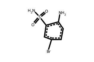 Nc1ccc(Br)cc1S(N)(=O)=O